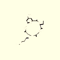 C/C=C1\NC(=O)c2cc(SC)cc(n2)CNC(=O)C[C@@H](/C=C/CCSC(C)=O)OC(=O)[C@H](C)NC1=O